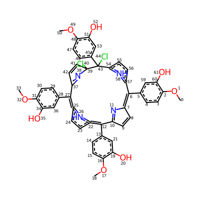 COc1ccc(C2=C3C=CC(=N3)C(c3ccc(OC)c(O)c3)=c3ccc([nH]3)=C(c3ccc(OC)c(O)c3)C3=NC(Cl)(C=C3)C(Cl)(c3ccc(OC)c(O)c3)c3ccc2[nH]3)cc1O